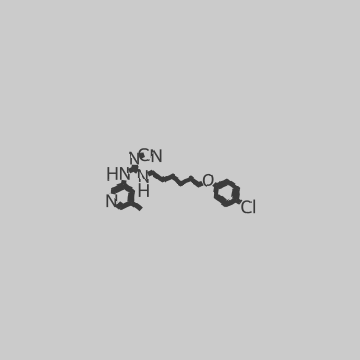 Cc1cncc(N/C(=N/C#N)NCCCCCCOc2ccc(Cl)cc2)c1